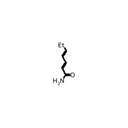 CC/C=C/C=CC(N)=O